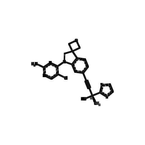 C[C@@](O)(C#Cc1ccc2c(c1)N(c1nc(N)ncc1Cl)CC21COC1)c1nccs1